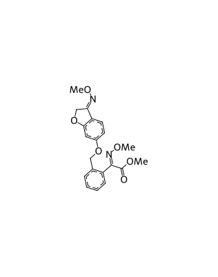 CON=C(C(=O)OC)c1ccccc1COc1ccc2c(c1)OCC2=NOC